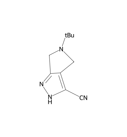 CC(C)(C)N1Cc2n[nH]c(C#N)c2C1